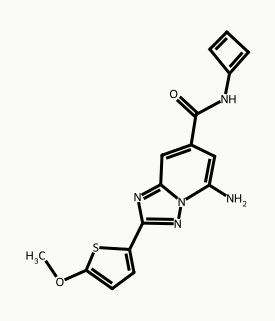 COc1ccc(-c2nc3cc(C(=O)NC4=CC=C4)cc(N)n3n2)s1